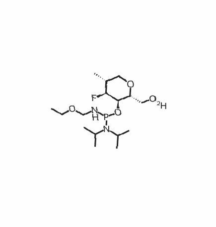 [2H]OC[C@H]1OC[C@@H](C)[C@H](F)[C@@H]1OP(NCOCC)N(C(C)C)C(C)C